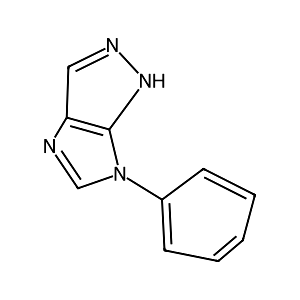 c1ccc(-n2cnc3cn[nH]c32)cc1